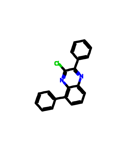 Clc1nc2c(-c3ccccc3)cccc2nc1-c1ccccc1